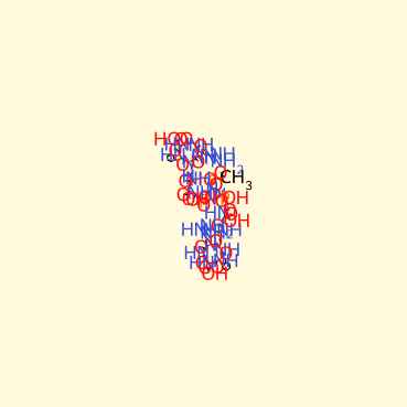 CC(=O)CCP(=O)(O)CN1CCN(CP(=O)(O)CCC(=O)NC(CCC(=O)NCCCC[C@@H]2NC(=O)[C@@H](Cc3ccccc3)NC(=O)[C@H](CC(=O)O)NC(=O)CNC(=O)[C@H](CCCNC(=N)N)NC2=O)C(=O)O)CCN(CP(=O)(O)CCC(=O)NC(CCC(=O)NCCCC[C@@H]2NC(=O)[C@@H](Cc3ccccc3)NC(=O)[C@H](CC(=O)O)NC(=O)CNC(=O)[C@H](CCCNC(=N)N)NC2=O)C(=O)O)CC1